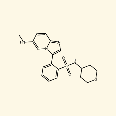 CNc1ccc2ncc(-c3ccccc3S(=O)(=O)NC3CCOCC3)n2c1